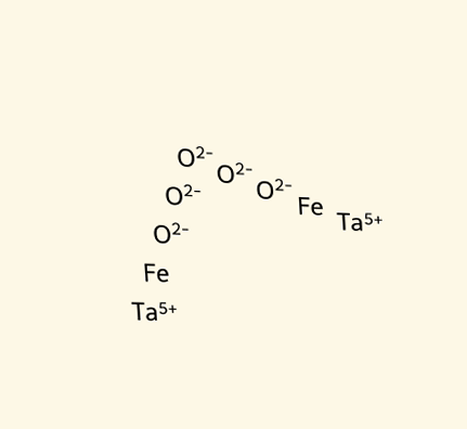 [Fe].[Fe].[O-2].[O-2].[O-2].[O-2].[O-2].[Ta+5].[Ta+5]